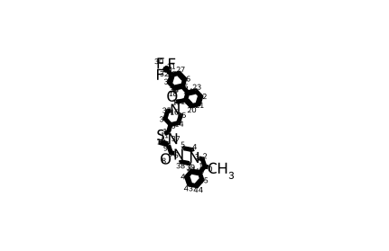 CC(CN1CCN(C(=O)c2csc(C3CCN(C(=O)c4ccccc4-c4ccc(C(F)(F)F)cc4)CC3)n2)CC1)c1ccccc1